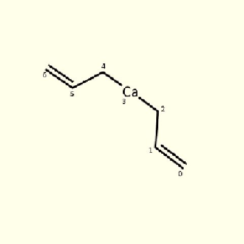 C=C[CH2][Ca][CH2]C=C